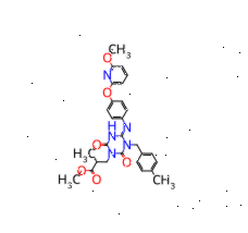 COC(=O)[C@@H](C)Cn1c(=O)[nH]/c(=N\c2ccc(Oc3cccc(OC)n3)cc2)n(Cc2ccc(C)cc2)c1=O